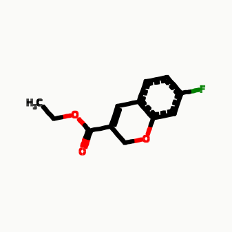 CCOC(=O)C1=Cc2ccc(F)cc2OC1